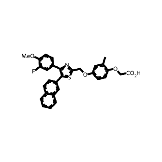 COc1ccc(-c2nc(COc3ccc(OCC(=O)O)c(C)c3)sc2-c2ccc3ccccc3c2)cc1F